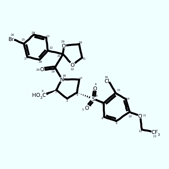 O=C(O)[C@@H]1C[C@@H](S(=O)(=O)c2ccc(OCC(F)(F)F)cc2Cl)CN1C(=O)C1(c2ccc(Br)cc2)OCCO1